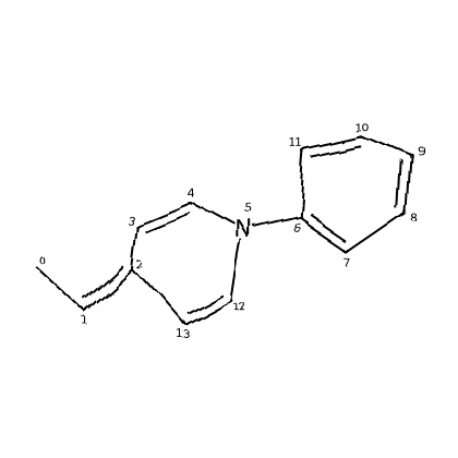 CC=C1C=CN(c2ccccc2)C=C1